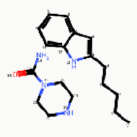 CCCCCc1cc2ccccc2[nH]1.NC(=O)N1CCNCC1